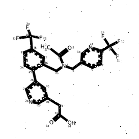 CC(=O)N(Cc1ccc(C(F)(F)F)nc1)Cc1cc(C(F)(F)F)ccc1-c1cncc(CC(=O)O)c1